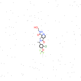 CC(c1ccc(OC(F)(F)F)c(Cl)c1)N1Cc2c(ccnc2C(=O)NCCO)C1=O